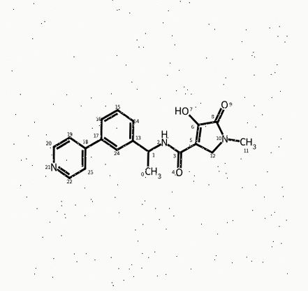 CC(NC(=O)C1=C(O)C(=O)N(C)C1)c1cccc(-c2ccncc2)c1